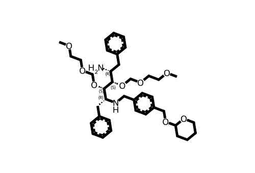 COCCOCO[C@H]([C@@H](OCOCCOC)[C@@H](Cc1ccccc1)NCc1ccc(COC2CCCCO2)cc1)[C@H](N)Cc1ccccc1